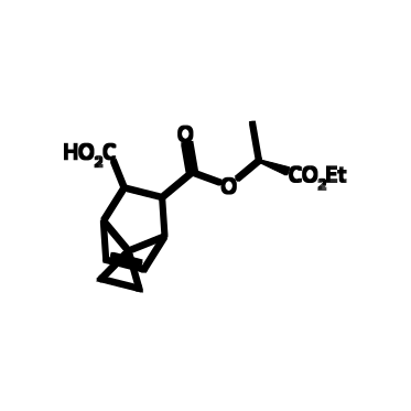 CCOC(=O)[C@H](C)OC(=O)C1C(C(=O)O)C2C=CC1C21CC1